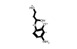 Nc1ccc(OC(O)CCO)c(Cl)c1